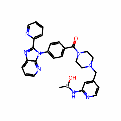 CB(O)Nc1cc(CN2CCN(C(=O)c3ccc(-n4c(-c5ccccn5)nc5cccnc54)cc3)CC2)ccn1